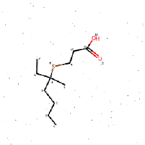 CCCCC(C)(CC)SCCC(=O)O